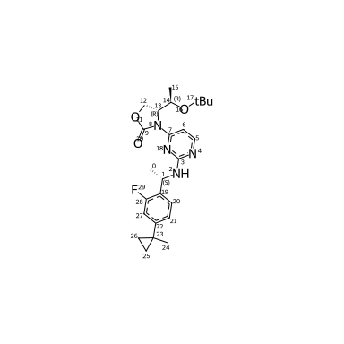 C[C@H](Nc1nccc(N2C(=O)OC[C@@H]2[C@@H](C)OC(C)(C)C)n1)c1ccc(C2(C)CC2)cc1F